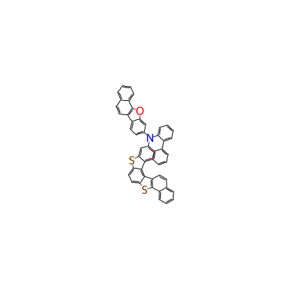 c1ccc(-c2ccccc2N(c2ccc3c(c2)oc2c4ccccc4ccc32)c2ccc3c(c2)sc2ccc4sc5c6ccccc6ccc5c4c23)cc1